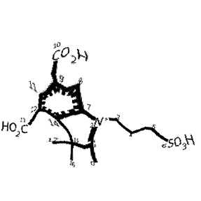 CC1=[N+](CCCS(=O)(=O)O)c2cc(C(=O)O)cc(C(=O)O)c2C1(C)C